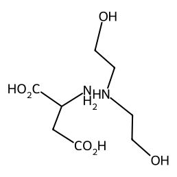 NC(CC(=O)O)C(=O)O.OCCNCCO